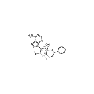 COC1O[C@@H]2COC(c3ccccc3)O[C@H]2[C@@H](O)[C@@H]1n1cnc2c(N)ncnc21